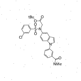 CNC(=O)c1cccc(-n2ccc3cc(N(CC(=O)OC(C)(C)C)S(=O)(=O)c4cccc(Cl)c4)ccc32)c1